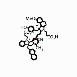 COc1ccc2ccc3c(c2c1)C(C)(Cc1ccc(O)cc1)\C(=C/C=C(C#N)/C=C/C1=[N+](CCC(=O)O)c2ccccc2C1(Cc1ccc2ccccc2c1)Cc1ccccc1C)N3CCC(=O)O